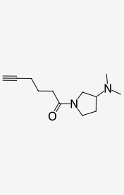 C#CCCCC(=O)N1CCC(N(C)C)C1